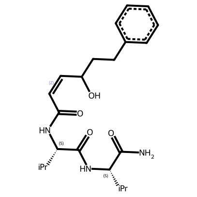 CC(C)[C@H](NC(=O)[C@@H](NC(=O)/C=C\C(O)CCc1ccccc1)C(C)C)C(N)=O